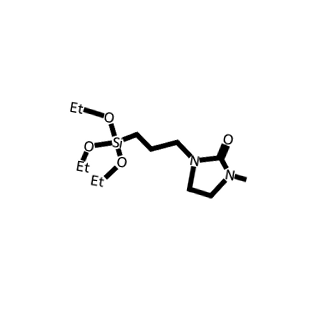 CCO[Si](CCCN1CCN(C)C1=O)(OCC)OCC